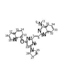 CN(C)c1nc(/C=C/c2nc(Oc3cccc4cccnc34)cc(N3CCCC3)n2)nc2ccccc12